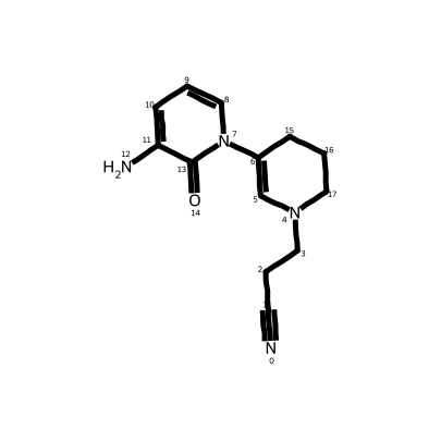 N#CCCN1C=C(n2cccc(N)c2=O)CCC1